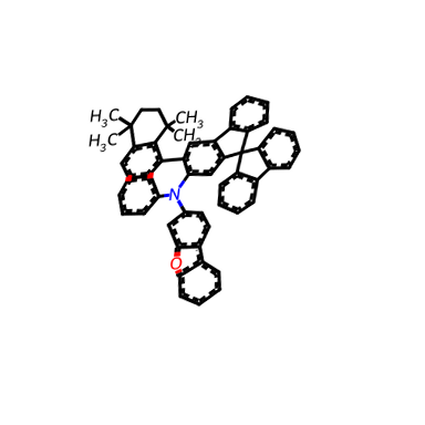 CC1(C)CCC(C)(C)c2c(-c3cc4c(cc3N(c3ccccc3)c3ccc5c(c3)oc3ccccc35)C3(c5ccccc5-c5ccccc53)c3ccccc3-4)cccc21